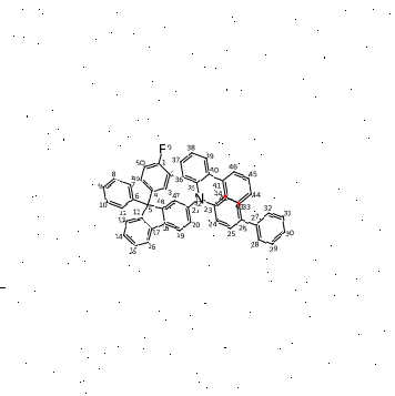 Fc1ccc(C2(c3ccccc3)c3ccccc3-c3ccc(N(c4ccc(-c5ccccc5)cc4)c4ccccc4-c4ccccc4)cc32)cc1